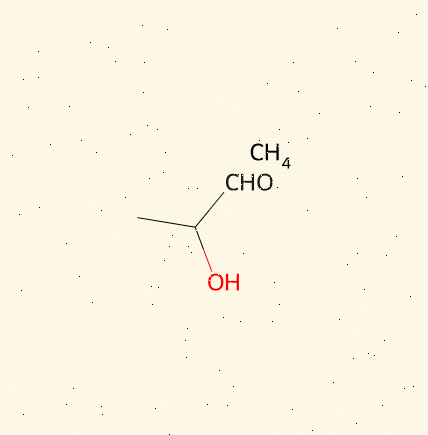 C.CC(O)C=O